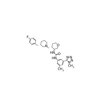 Cc1cc(NC(=O)N[C@@H]2COCC[C@H]2CN2CCC[C@@H](Cc3ccc(F)cc3)C2)cc(-c2nnnn2C)c1